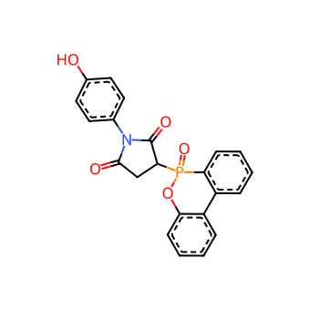 O=C1CC(P2(=O)Oc3ccccc3-c3ccccc32)C(=O)N1c1ccc(O)cc1